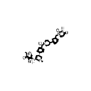 CN1C[C@H](Nc2cnn(C)c(=O)c2Br)C[C@H](c2ccc(C(=O)N3CCC(c4cccc(CN5CCC(=O)NC5=O)c4)CC3)cc2)C1